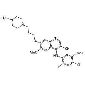 COc1cc(Nc2c(C#N)cnc3cc(OCCCN4CCN(C)CC4)c(OC)cc23)c(I)cc1Cl